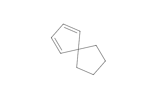 C1=CC2(C=C1)CCCC2